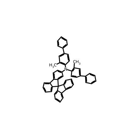 Cc1cc(-c2ccccc2)ccc1N(c1ccc2c(c1)C1(c3ccccc3-c3ccccc31)c1ccccc1-2)c1ccc(-c2ccccc2)cc1C